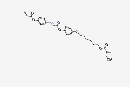 C=CC(=O)Oc1ccc(/C=C/C(=O)Oc2ccc(OCCCCCCOC(=O)C(=C)CO)cc2)cc1